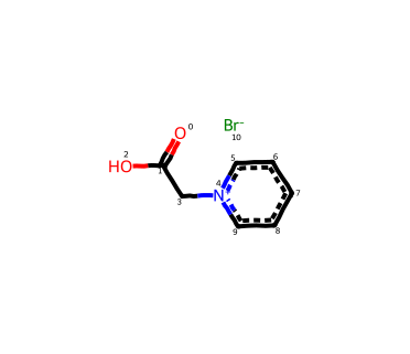 O=C(O)C[n+]1cc[c]cc1.[Br-]